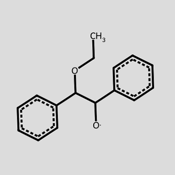 CCOC(c1ccccc1)C([O])c1ccccc1